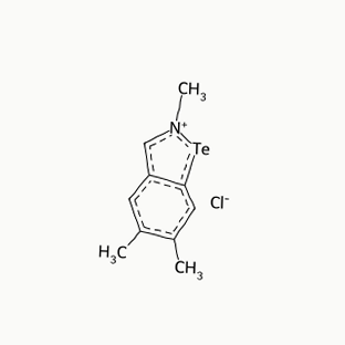 Cc1cc2c[n+](C)[te]c2cc1C.[Cl-]